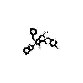 CC1=c2c(n(Cc3ccccc3)n(-c3nc4ccccc4s3)c2=O)=CC(O)N1Cc1ccc(Cl)cn1